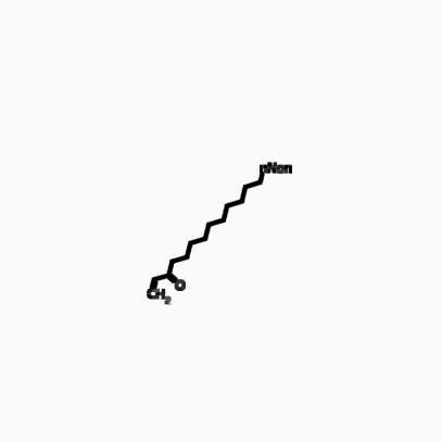 C=CC(=O)CCCCCCCCCCCCCCCCCCC